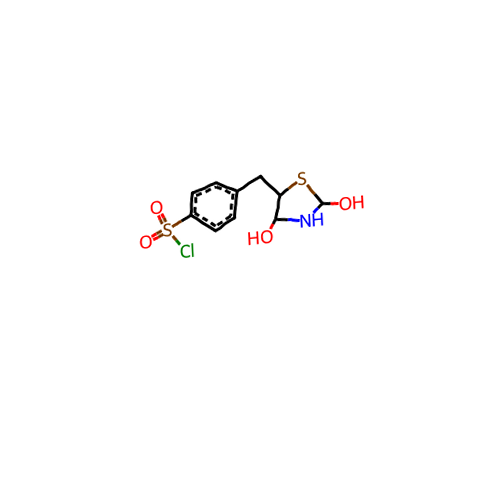 O=S(=O)(Cl)c1ccc(CC2SC(O)NC2O)cc1